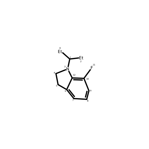 CCC(CC)N1CCc2cccc(F)c21